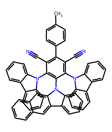 Cc1ccc(-c2c(C#N)c(-n3c4ccccc4c4ccccc43)c(-n3c4ccccc4c4cc5ccccc5cc43)c(-n3c4ccccc4c4ccccc43)c2C#N)cc1